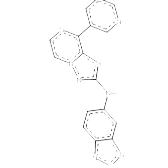 c1cncc(-c2nccn3nc(Nc4ccc5nsnc5c4)nc23)c1